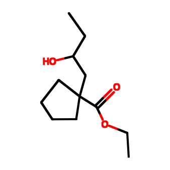 CCOC(=O)C1(CC(O)CC)CCCC1